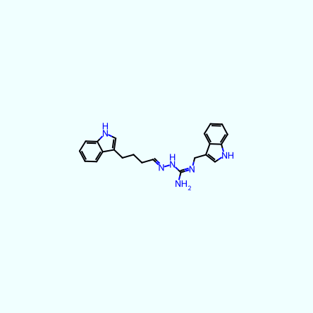 NC(=NCc1c[nH]c2ccccc12)NN=CCCCc1c[nH]c2ccccc12